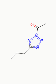 CCCc1nnn(C(C)=O)n1